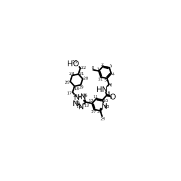 Cc1cccc(CNC(=O)c2cc(-c3nnn(CC4CCC(CO)CC4)n3)cc(C)n2)c1